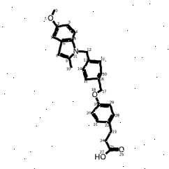 COc1ccc2c(c1)cc(C)n2Cc1ccc(COc2ccc(CCC(=O)O)cc2)cc1